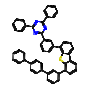 c1ccc(-c2ccc(-c3cccc(-c4cccc5c4sc4c(-c6cccc(-c7nc(-c8ccccc8)nc(-c8ccccc8)n7)c6)cccc45)c3)cc2)cc1